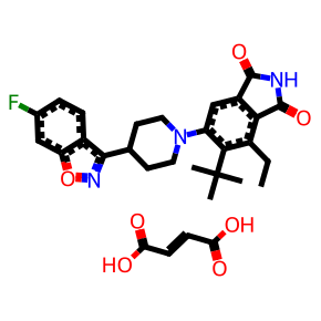 CCc1c2c(cc(N3CCC(c4noc5cc(F)ccc45)CC3)c1C(C)(C)C)C(=O)NC2=O.O=C(O)C=CC(=O)O